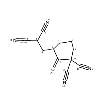 N#CC(C#N)CC1CCCC(C#N)(C#N)C1=O